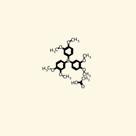 CC(=O)O.COc1cc[c]([Bi]([c]2ccc(OC)c(OC)c2)[c]2ccc(OC)c(OC)c2)cc1OC